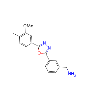 COc1cc(-c2nnc(-c3cccc(CN)c3)o2)ccc1C